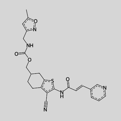 Cc1cc(CNC(=O)OCC2CCc3c(sc(NC(=O)C=Cc4cccnc4)c3C#N)C2)no1